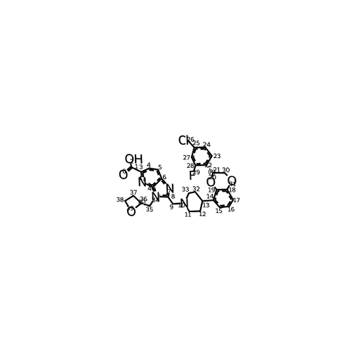 O=C(O)c1ccc2nc(CN3CCC(c4cccc5c4O[C@H](c4ccc(Cl)cc4F)CO5)CC3)n(C[C@@H]3CCO3)c2n1